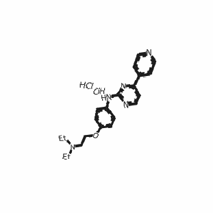 CCN(CC)CCOc1ccc(Nc2nccc(-c3ccncc3)n2)cc1.Cl.Cl